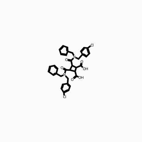 O=C(O)C1C(C(=O)O)C(C(=O)N(Cc2ccccc2)Cc2ccc(Cl)cc2)C1C(=O)N(Cc1ccccc1)Cc1ccc(Cl)cc1